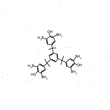 Bc1cc(C(C)(C)c2cc(C(C)(C)c3cc(B)c(O)c(B)c3)cc(C(C)(C)c3cc(B)c(O)c(B)c3)c2)cc(B)c1O